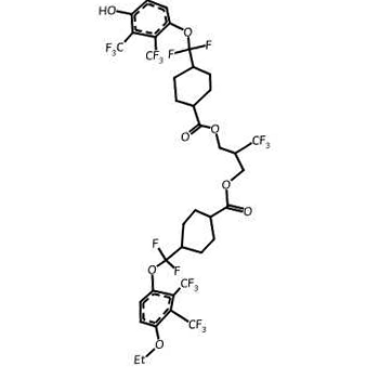 CCOc1ccc(OC(F)(F)C2CCC(C(=O)OCC(COC(=O)C3CCC(C(F)(F)Oc4ccc(O)c(C(F)(F)F)c4C(F)(F)F)CC3)C(F)(F)F)CC2)c(C(F)(F)F)c1C(F)(F)F